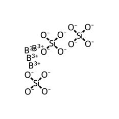 [B+3].[B+3].[B+3].[B+3].[O-][Si]([O-])([O-])[O-].[O-][Si]([O-])([O-])[O-].[O-][Si]([O-])([O-])[O-]